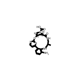 CC1CNC(=O)[C@@H]2C[C@@H](CN2C(=O)O)Oc2nccc(n2)-c2cccc(N)c2NC1